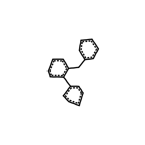 [c]1ccc(Cc2ccccc2)c(-c2ccccc2)c1